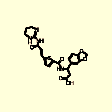 O=C(O)CC(NC(=O)c1ccc(C=CC(=O)NC2=NCCCN2)s1)c1ccc2c(c1)OCO2